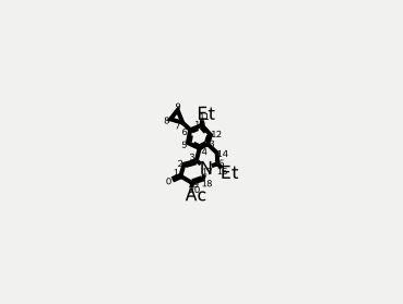 C=C1C=C2c3cc(C4CC4)c(CC)cc3CC(CC)N2C=C1C(C)=O